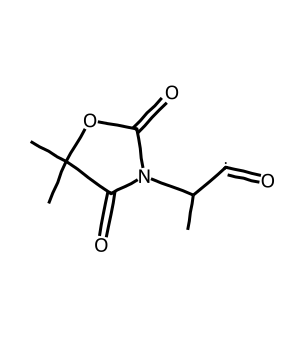 CC([C]=O)N1C(=O)OC(C)(C)C1=O